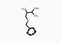 CC(C=O)C(C)COCc1ccccc1